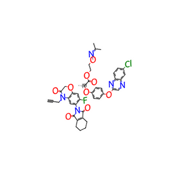 C#CCN1C(=O)COc2cc(F)c(N3C(=O)C4=C(CCCC4)C3=O)cc21.CC(C)=NOCCOC(=O)[C@@H](C)Oc1ccc(Oc2cnc3cc(Cl)ccc3n2)cc1